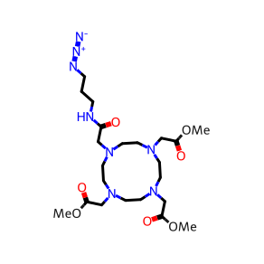 COC(=O)CN1CCN(CC(=O)NCCCN=[N+]=[N-])CCN(CC(=O)OC)CCN(CC(=O)OC)CC1